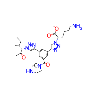 CCC(C)[C@@H](C(C)=O)n1cc(-c2cc(C(=O)N3CCNCC3)cc(-c3cn([C@@H](CCCCN)C(=O)OC)nn3)c2)nn1